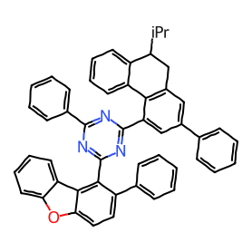 CC(C)C1Cc2cc(-c3ccccc3)cc(-c3nc(-c4ccccc4)nc(-c4c(-c5ccccc5)ccc5oc6ccccc6c45)n3)c2-c2ccccc21